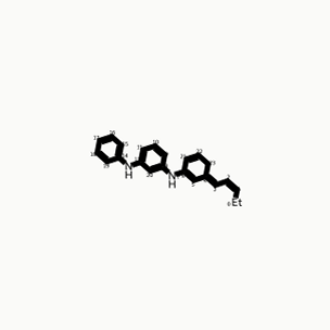 CC/C=C\C=C1\C=C(Nc2cccc(Nc3ccccc3)c2)C=CC1